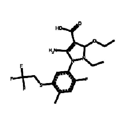 CCOC1C(C(=O)O)=C(N)N(c2cc(SCC(F)(F)F)c(C)cc2F)N1CC